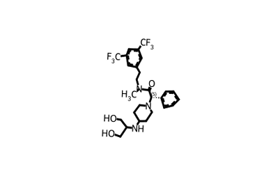 CN(CCc1cc(C(F)(F)F)cc(C(F)(F)F)c1)C(=O)[C@H](c1ccccc1)N1CCC(NC(CO)CO)CC1